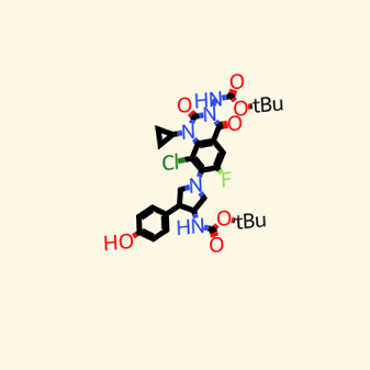 CC(C)(C)OC(=O)NC1CN(c2c(F)cc3c(=O)n(NC(=O)OC(C)(C)C)c(=O)n(C4CC4)c3c2Cl)CC1c1ccc(O)cc1